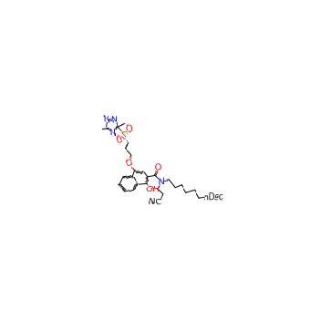 CCCCCCCCCCCCCCCCN(CCC#N)C(=O)c1cc(OCCCS(=O)(=O)C2(C)N=NC(C)=N2)c2ccccc2c1O